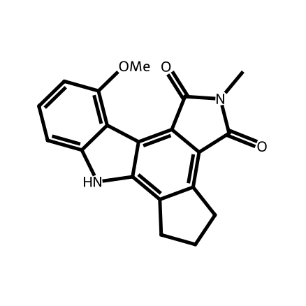 COc1cccc2[nH]c3c4c(c5c(c3c12)C(=O)N(C)C5=O)CCC4